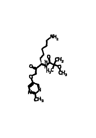 COC(C)(C)C(=O)N[C@@H](CCCCCN)C(=O)COc1cnc(C)nc1